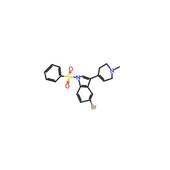 CN1CC=C(c2cn(S(=O)(=O)c3ccccc3)c3ccc(Br)cc23)CC1